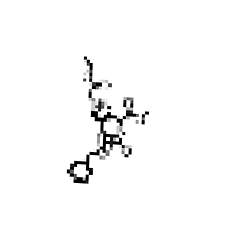 CCOC(=O)Cn1cc2c(n1)C(C(=O)OC)N1C[C@H]2N(OCc2ccccc2)C1=O